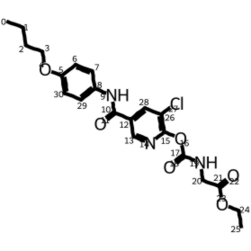 CCCCOc1ccc(NC(=O)c2cnc(OC(=O)NCC(=O)OCC)c(Cl)c2)cc1